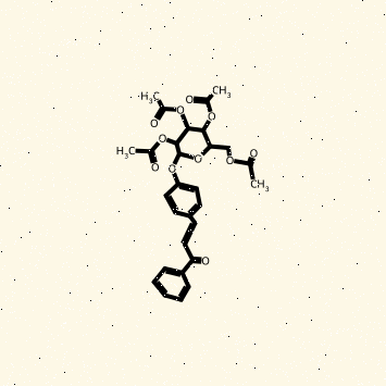 CC(=O)OCC1OC(Oc2ccc(C=CC(=O)c3ccccc3)cc2)C(OC(C)=O)C(OC(C)=O)C1OC(C)=O